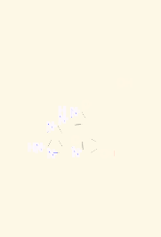 CNc1ncc(-c2nc3cc(O)ccc3o2)c2cc(Nc3cccc(OCCCCCO)n3)ncc12